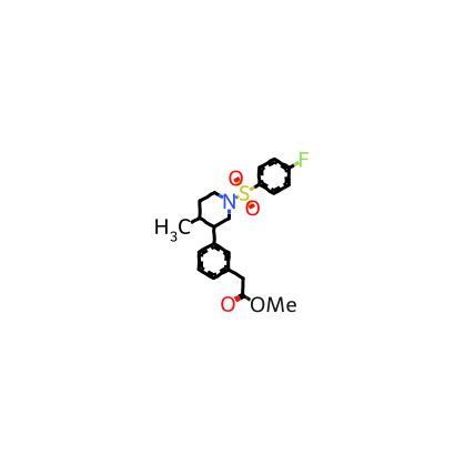 COC(=O)Cc1cccc(C2CN(S(=O)(=O)c3ccc(F)cc3)CCC2C)c1